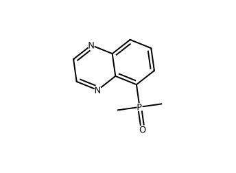 CP(C)(=O)c1cccc2nccnc12